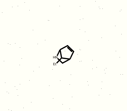 CCC1C2C=CC1NC2